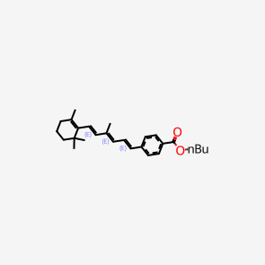 CCCCOC(=O)c1ccc(/C=C/C=C(C)/C=C/C2=C(C)CCCC2(C)C)cc1